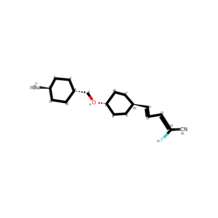 CCCC[C@H]1CC[C@H](CO[C@H]2CC[C@H](/C=C/C=C(\F)C#N)CC2)CC1